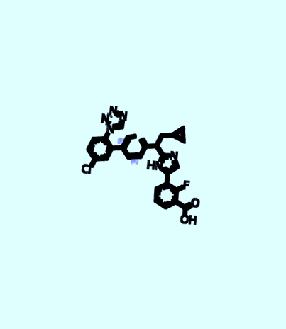 C=C(/C=C\C(=C/C)c1cc(Cl)ccc1-n1cnnn1)C(CC1CC1)c1ncc(-c2cccc(C(=O)O)c2F)[nH]1